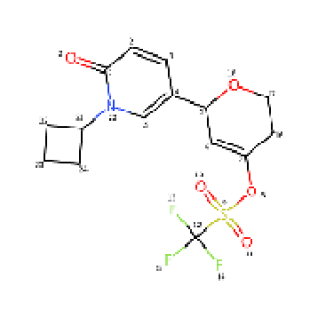 O=c1ccc(C2C=C(OS(=O)(=O)C(F)(F)F)CCO2)cn1C1CCC1